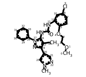 COCCOc1ccc(Cl)cc1NC(=O)Nc1c(C)c(-c2cnn(C)c2)nn1-c1ccccc1